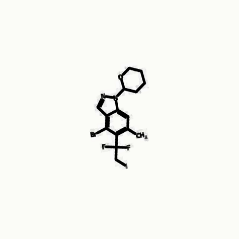 Cc1cc2c(cnn2C2CCCCO2)c(Br)c1C(F)(F)CI